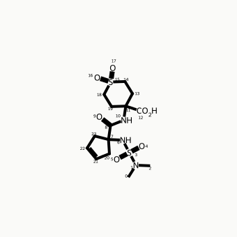 CN(C)S(=O)(=O)NC1(C(=O)NC2(C(=O)O)CCS(=O)(=O)CC2)CC=CC1